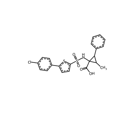 CC1C(c2ccccc2)C1(NS(=O)(=O)c1ccc(-c2ccc(Cl)cc2)s1)C(=O)O